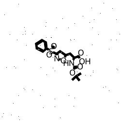 CC(C)(C)OC(=O)NC(CC1CC(S(=O)(=O)c2ccccc2)=NO1)C(=O)O